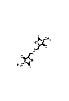 CN1C(=O)NC(CSSCC2NC(=O)N(C)C2=O)C1=O